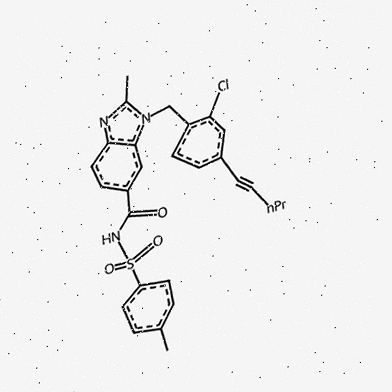 CCCC#Cc1ccc(Cn2c(C)nc3ccc(C(=O)NS(=O)(=O)c4ccc(C)cc4)cc32)c(Cl)c1